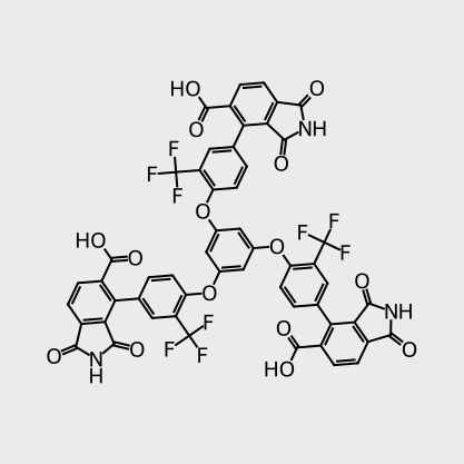 O=C1NC(=O)c2c1ccc(C(=O)O)c2-c1ccc(Oc2cc(Oc3ccc(-c4c(C(=O)O)ccc5c4C(=O)NC5=O)cc3C(F)(F)F)cc(Oc3ccc(-c4c(C(=O)O)ccc5c4C(=O)NC5=O)cc3C(F)(F)F)c2)c(C(F)(F)F)c1